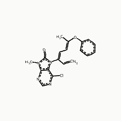 C=C/C(=C\C=C(/C)Oc1ccccc1)n1c(=O)n(C)c2ncnc(Cl)c21